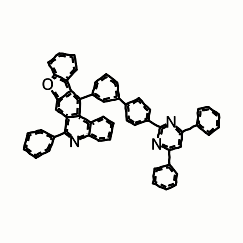 c1ccc(-c2cc(-c3ccccc3)nc(-c3ccc(-c4cccc(-c5c6c(cc7c(-c8ccccc8)nc8ccccc8c57)oc5ccccc56)c4)cc3)n2)cc1